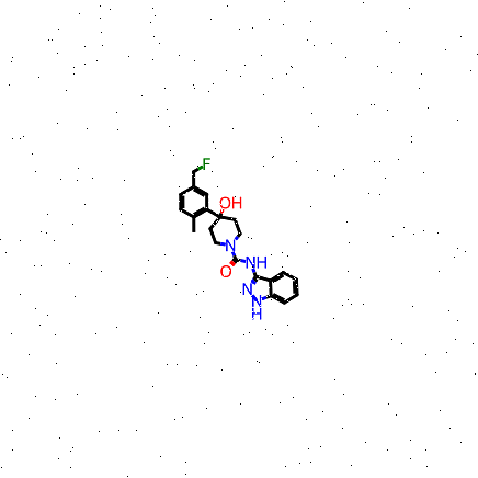 Cc1ccc(CF)cc1C1(O)CCN(C(=O)Nc2n[nH]c3ccccc23)CC1